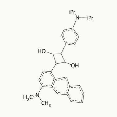 CC(C)N(c1ccc(C2C(O)C(c3ccc(N(C)C)c4cc5ccccc5cc34)C2O)cc1)C(C)C